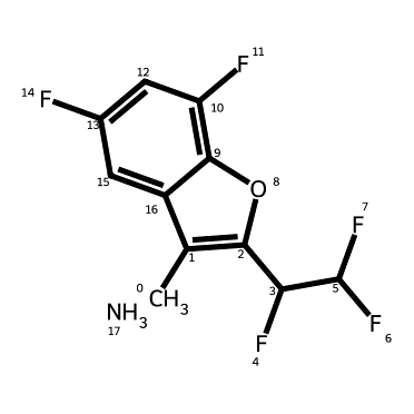 Cc1c(C(F)C(F)F)oc2c(F)cc(F)cc12.N